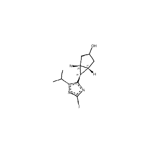 CC(C)n1nc(I)nc1[C@H]1[C@@H]2CC(O)C[C@@H]21